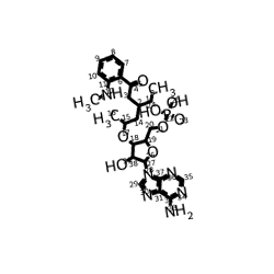 CCC(CC(=O)c1ccccc1NC)CC(C)OC1C(COP(=O)(O)O)OC(n2cnc3c(N)ncnc32)C1O